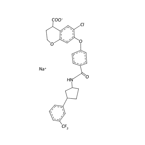 O=C(NC1CCC(c2cccc(C(F)(F)F)c2)C1)c1ccc(Oc2cc3c(cc2Cl)C(C(=O)[O-])CCO3)cc1.[Na+]